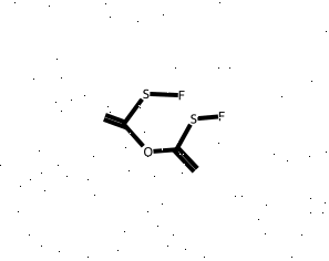 C=C(OC(=C)SF)SF